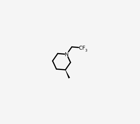 C[C@H]1CCCN(CC(F)(F)F)C1